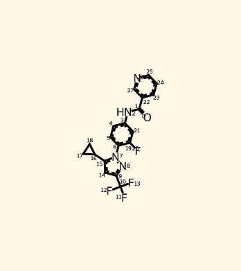 O=C(Nc1ccc(-n2nc(C(F)(F)F)cc2C2CC2)c(F)c1)c1cccnc1